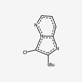 CC(C)(C)c1nc2cccnn2c1Cl